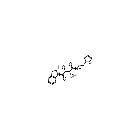 O=C(NCCC1CC=CS1)[C@H](O)[C@@H](O)C(=O)N1CCc2ccccc21